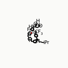 CC(C)CCCn1cc(-c2ccc(OC(F)(F)F)cc2)c2cc(CN3CCC(CN4CCN(c5ccc(NC6CCC(=O)NC6=O)cc5F)CC4)CC3)ccc21